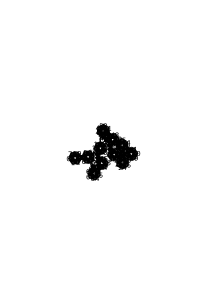 c1ccc(-c2ccc(N(c3cccc(N(c4cccc(C5(c6ccccc6)c6ccccc6-c6ccccc65)c4)c4cccc5c4oc4ccccc45)c3)c3cccc4c3sc3ccccc34)cc2)cc1